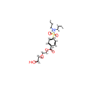 CCCN(CCC)S(=O)(=O)c1ccc(C(=O)OCCOCCO)cc1